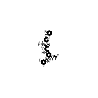 Cc1cc(Oc2c(F)cccc2F)ncc1-n1ncc(C(=O)c2cc3cc(OCC(F)F)c(NS(=O)(=O)c4cc(F)cc(F)c4)cc3[nH]2)c1N